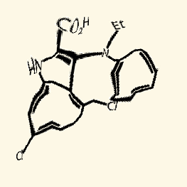 CCN(c1ccccc1)c1c(C(=O)O)[nH]c2cc(Cl)cc(Cl)c12